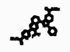 CNC(=O)c1ccc(-c2cc3c(cc2C(F)F)N(c2nn(C4CCOCC4)c4c2CN(C(=O)NC)CC4)CCC3)cn1